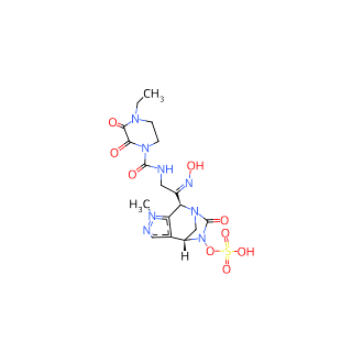 CCN1CCN(C(=O)NC/C(=N\O)[C@@H]2c3c(cnn3C)[C@@H]3CN2C(=O)N3OS(=O)(=O)O)C(=O)C1=O